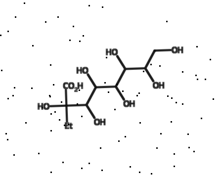 CCC(O)(C(=O)O)C(O)C(O)C(O)C(O)C(O)CO